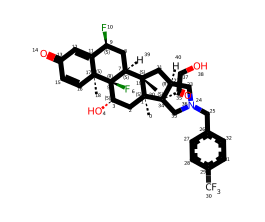 C[C@]12C[C@H](O)[C@@]3(F)[C@@H](C[C@H](F)C4=CC(=O)C=C[C@@]43C)[C@]1(C)C[C@H]1CN(Cc3ccc(C(F)(F)F)cc3)C[C@]12C(=O)CO